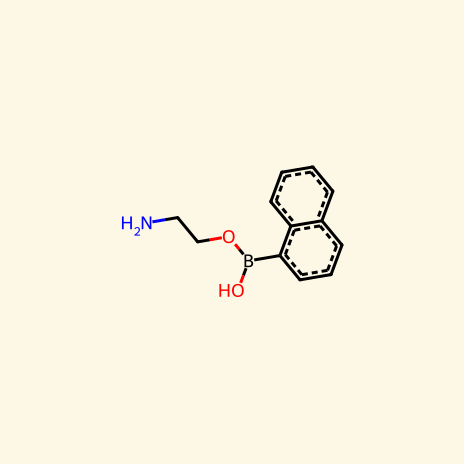 NCCOB(O)c1cccc2ccccc12